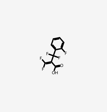 O=C(O)C(=C(F)F)C(F)(F)c1ccccc1F